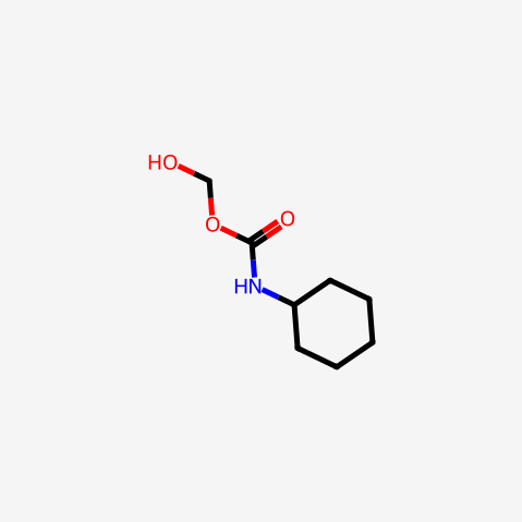 O=C(NC1CCCCC1)OCO